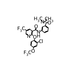 CN=S(C)(=O)c1cccc(NC(=O)c2cc(C(F)(F)F)cnc2Oc2ccc(OC(F)(F)F)cc2Cl)c1